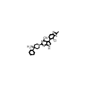 Cc1nc2ccc(-c3c[nH]c4nc(N5CCC(N)(c6ccccc6)CC5)nc(C#N)c34)c(Cl)c2s1